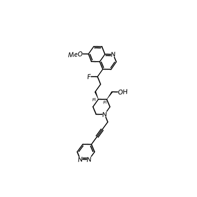 COc1ccc2nccc(C(F)CC[C@@H]3CCN(CC#Cc4ccnnc4)C[C@@H]3CO)c2c1